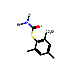 CCOC(=O)c1cc(C)cc(C)c1SC(=O)N(CC)CC